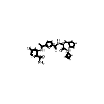 CC(Nc1cc(Cl)cnc1C(N)=O)c1ccc(C(=O)N[C@@H](CC2CCCC2)C(=O)NC23CC(C2)C3)s1